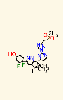 CC1(C)[C@H]2CC[C@@]1(c1ccnc(-n3cnc(CCS(C)(=O)=O)n3)n1)c1nnc(C3(F)C=CC(O)C=C3F)cc12